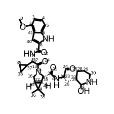 COc1cccc2[nH]c(C(=O)N[C@H](C(=O)N3C[C@H]4[C@@H]([C@H]3C(=O)N[C@H](C=O)C[C@@H]3CCCNC3O)C4(C)C)C3CC3)cc12